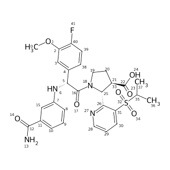 COc1cc([C@@H](Nc2cccc(C(N)=O)c2)C(=O)N2CC[C@@H](C(=O)O)[C@@H]2c2ncccc2S(=O)(=O)C(C)C)ccc1F